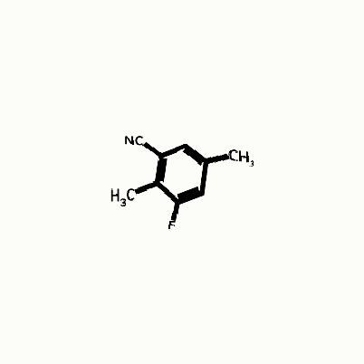 Cc1cc(F)c(C)c(C#N)c1